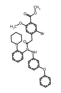 COC(=O)c1cc(Br)c(CC(=O)N(Nc2cccc(Oc3ccccc3)c2)c2ccccc2N2CCCCC2)cc1OC